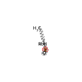 CCCCCCCCCCCCCCCOS(=O)(=O)c1ccccc1.[RbH]